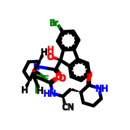 N#C[C@H](C[C@H]1CCCNC1=O)NC(=O)[C@@H]1[C@@H]2CC[C@@H](CC2(F)F)N1C(=O)[C@@]1(O)c2ccccc2-c2ccc(Br)cc21